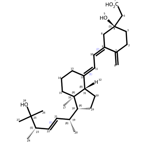 C=C1CC[C@@](O)(CC(=O)O)C/C1=C/C=C1\CCC[C@]2(C)[C@@H]([C@H](C)/C=C/[C@H](C)C(C)(C)O)CC[C@@H]12